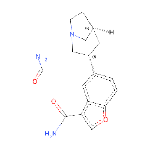 NC(=O)c1coc2ccc([C@H]3C[C@@H]4CCN(C4)C3)cc12.NC=O